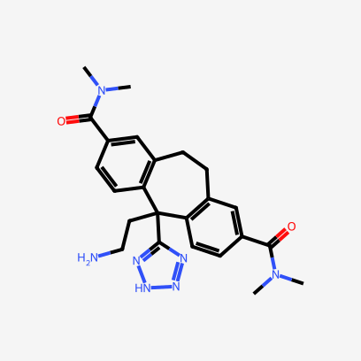 CN(C)C(=O)c1ccc2c(c1)CCc1cc(C(=O)N(C)C)ccc1C2(CCN)c1nn[nH]n1